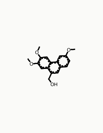 COc1ccc2cc(CO)c3cc(OC)c(OC)cc3c2c1